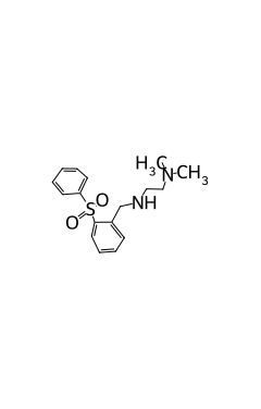 CN(C)CCNCc1ccccc1S(=O)(=O)c1ccccc1